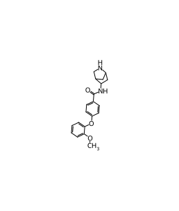 COc1ccccc1Oc1ccc(C(=O)NC2CC3CC2CN3)cc1